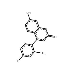 Cc1cc(F)ccc1-c1cc(=O)oc2cc(O)ccc12